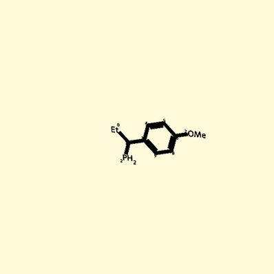 CCC(P)c1ccc(OC)cc1